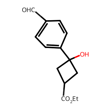 CCOC(=O)C1CC(O)(c2ccc(C=O)cc2)C1